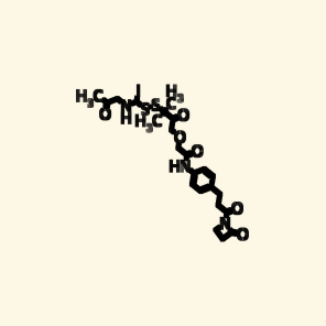 CC(=O)CNC(I)SSC(C)(C)C(=O)COCC(=O)Nc1ccc(CCC(=O)N2CCC2=O)cc1